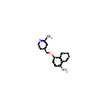 Cc1cc(COc2ccc([N+](=O)[O-])c3ccccc23)ccn1